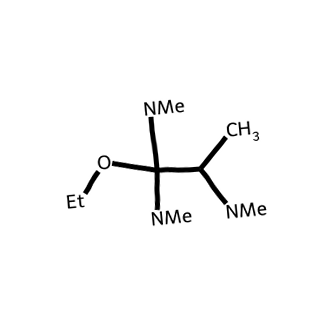 [CH2]COC(NC)(NC)C(C)NC